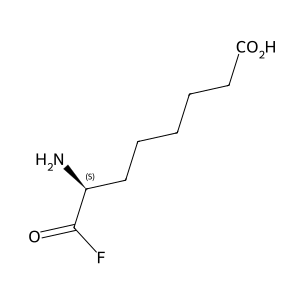 N[C@@H](CCCCCC(=O)O)C(=O)F